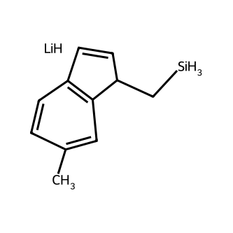 Cc1ccc2c(c1)C(C[SiH3])C=C2.[LiH]